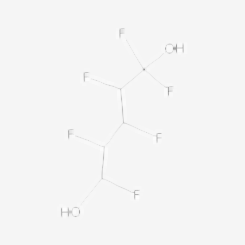 OC(F)C(F)C(F)C(F)C(O)(F)F